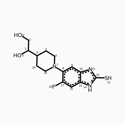 OCC(O)C1CCN(c2cc3nc(S)[nH]c3cc2F)CC1